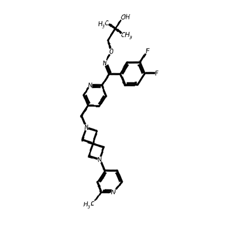 Cc1cc(N2CC3(CN(Cc4ccc(C(=NOCC(C)(C)O)c5ccc(F)c(F)c5)nc4)C3)C2)ccn1